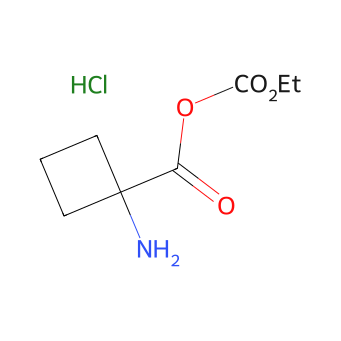 CCOC(=O)OC(=O)C1(N)CCC1.Cl